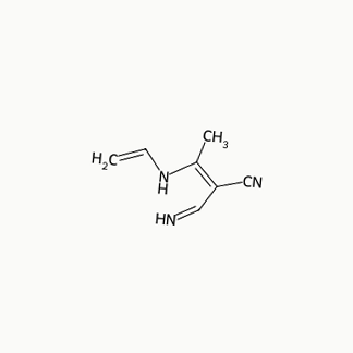 C=CN/C(C)=C(/C#N)C=N